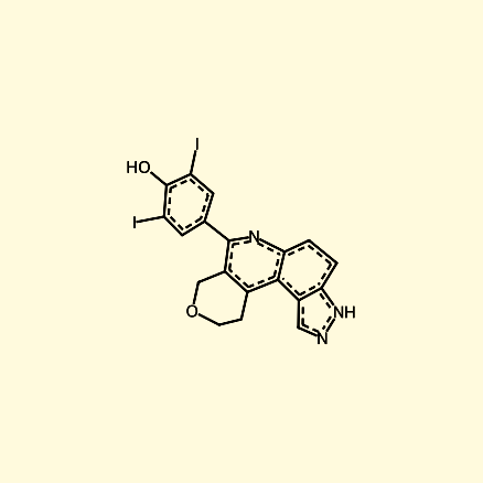 Oc1c(I)cc(-c2nc3ccc4[nH]ncc4c3c3c2COCC3)cc1I